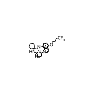 CC(=O)NCC1(Nc2nccc(-n3ccc4c(OCCCC(F)(F)F)cccc43)n2)CCCCC1